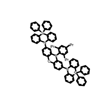 CC(C)c1cc(C(C)C)c(B2c3cc(N4c5ccccc5[Si](c5ccccc5)(c5ccccc5)c5ccccc54)ccc3Oc3ccc(N4c5ccccc5[Si](c5ccccc5)(c5ccccc5)c5ccccc54)cc32)c(C(C)C)c1